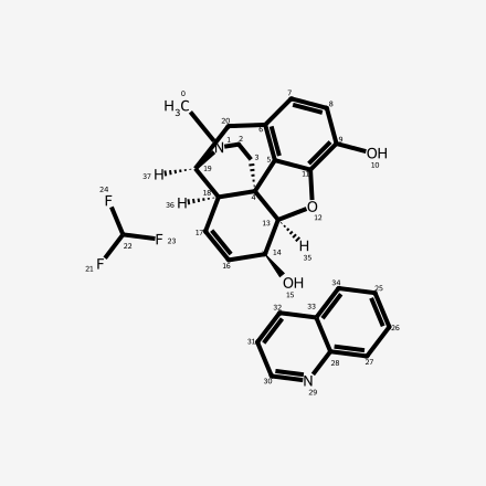 CN1CC[C@]23c4c5ccc(O)c4O[C@H]2[C@@H](O)C=C[C@H]3[C@H]1C5.FC(F)F.c1ccc2ncccc2c1